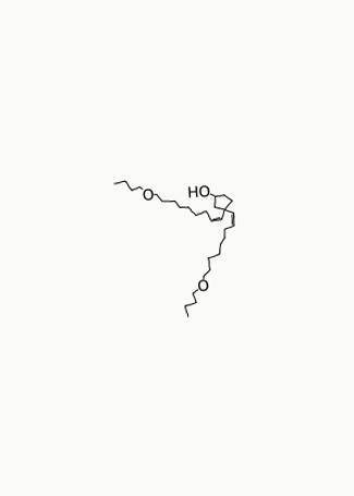 CCCCOCCCCCCC/C=C\C1(/C=C\CCCCCCCOCCCC)CCC(O)C1